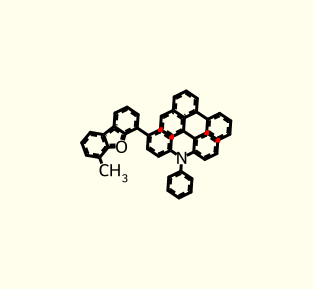 Cc1cccc2c1oc1c(-c3ccc(N(c4ccccc4)c4ccccc4-c4cccc5cccc(-c6ccccc6)c45)cc3)cccc12